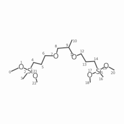 CO[Si](C)(CCCOCC(C)OCCC[Si](C)(OC)OC)OC